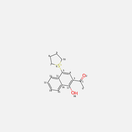 CC(=O)c1cc([S+]2CCCC2)c2ccccc2c1O